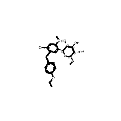 CCOc1ccc(Cc2cc([C@@H]3O[C@H](SC)[C@@H](O)[C@H](O)[C@H]3O)c(OC)cc2Cl)cc1